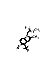 [C-]#[N+]c1ccc2c(cc(C)n2CC(C)OC)c1C(F)(F)F